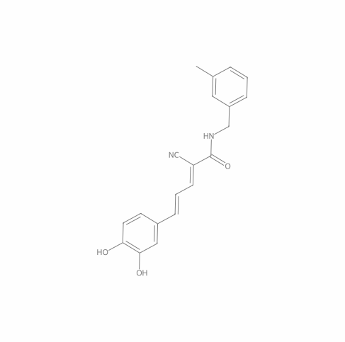 Cc1cccc(CNC(=O)/C(C#N)=C/C=C/c2ccc(O)c(O)c2)c1